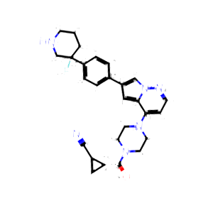 N#CC1C[C@H]1C(=O)N1CCN(c2ccnn3cc(-c4ccc([C@@]5(F)CCCNC5)cc4)cc23)CC1